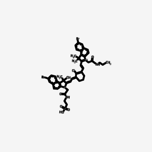 CCCNC(=O)C[N+]1=C(/C=C/C2=C(Cl)C(=C/C=C3/N(CC(=O)NCCS(=O)(=O)O)c4ccc5cc(Br)ccc5c4C3(C)C)/CCC2)C(C)(C)c2c1ccc1cc(Br)ccc21